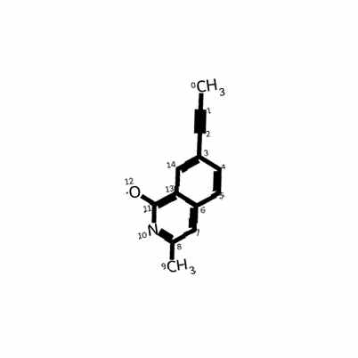 CC#Cc1ccc2cc(C)nc([O])c2c1